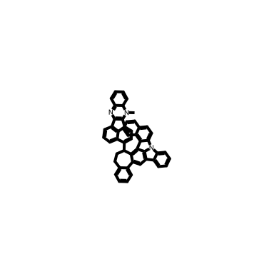 CN1C2=C(N=C3C=CC=CC31)c1cccc3c(C4CCc5ccccc5-c5cc6c7ccccc7n7c8ccc9ccccc9c8c(c54)c67)ccc2c13